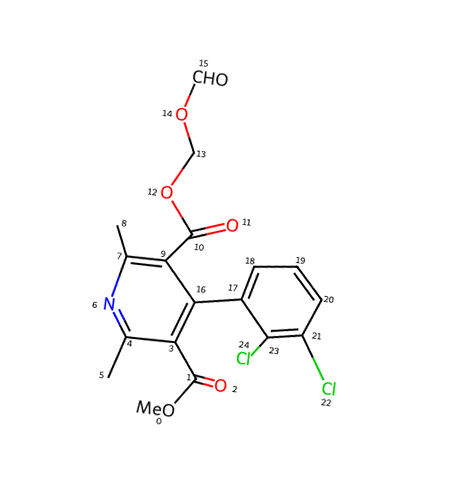 COC(=O)c1c(C)nc(C)c(C(=O)OCOC=O)c1-c1cccc(Cl)c1Cl